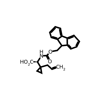 C=CCC1([C@H](NC(=O)OCC2c3ccccc3-c3ccccc32)C(=O)O)CC1